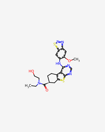 CCN(CCO)C(=O)[C@H]1CCc2c(sc3ncnc(Nc4cc5snnc5cc4OC)c23)C1